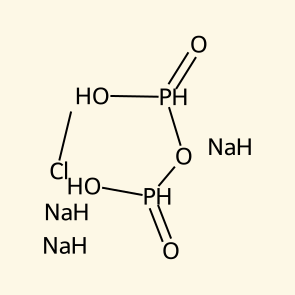 CCl.O=[PH](O)O[PH](=O)O.[NaH].[NaH].[NaH]